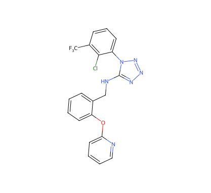 FC(F)(F)c1cccc(-n2nnnc2NCc2ccccc2Oc2ccccn2)c1Cl